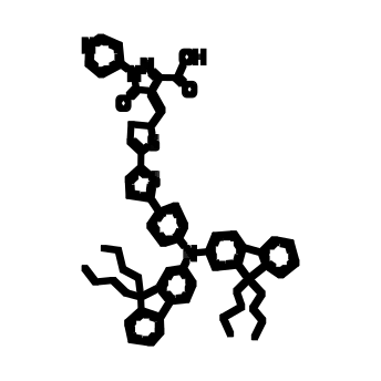 CCCCC1(CCCC)c2ccccc2-c2ccc(N(c3ccc(-c4ccc(C5=CCC(/C=C6\C(=O)N(c7ccncc7)N=C6C(=O)O)S5)s4)cc3)c3ccc4c(c3)C(CCCC)(CCCC)c3ccccc3-4)cc21